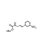 CCCCOC(=O)NCC=Cc1cccc([N+](=O)[O-])c1